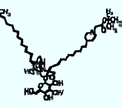 CCCCCCCCCCCCCC[C@@H](O)[C@@H](O)[C@H](COC1OC(CO)C(O)C(O)C1O)NC1(CCCCCCCCCCC2CCN(CC(=O)OC(C)(C)C)CC2)COC1